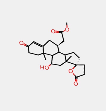 COC(=O)C[C@@H]1CC2=CC(=O)CCC2(C)C2C1C1CC[C@@]3(CCC(=O)O3)C1(C)C[C@H]2O